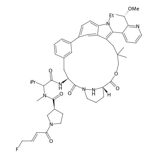 CCn1c(-c2cccnc2[C@H](C)OC)c2c3cc(ccc31)-c1cccc(c1)C[C@H](NC(=O)C(C(C)C)N(C)C(=O)[C@H]1CCN(C(=O)/C=C/CF)C1)C(=O)N1CCC[C@H](N1)C(=O)OCC(C)(C)C2